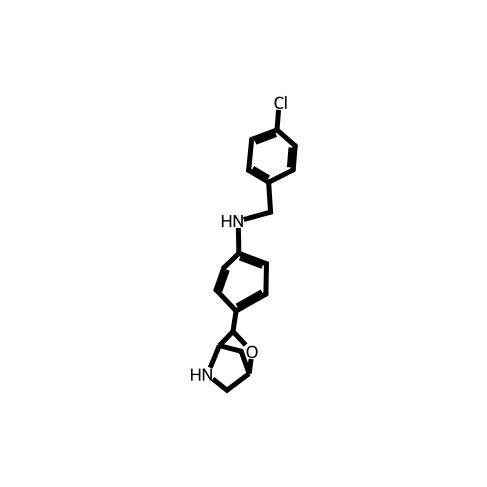 Clc1ccc(CNc2ccc(C3OC4CNC3C4)cc2)cc1